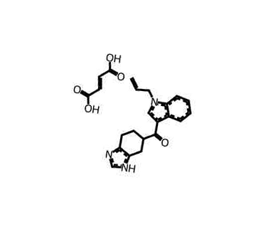 C=CCn1cc(C(=O)C2CCc3nc[nH]c3C2)c2ccccc21.O=C(O)C=CC(=O)O